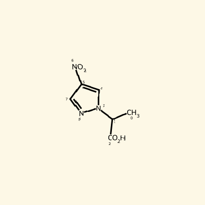 CC(C(=O)O)n1cc([N+](=O)[O-])cn1